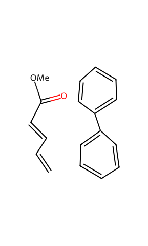 C=CC=CC(=O)OC.c1ccc(-c2ccccc2)cc1